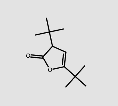 CC(C)(C)C1=CC(C(C)(C)C)C(=O)O1